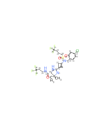 CC1(C)N=C(C23CC(N(Cc4ccc(Cl)cc4)S(=O)(=O)CCCC(F)(F)F)(C2)C3)N[C@H]1C(=O)NCCC(F)(F)F